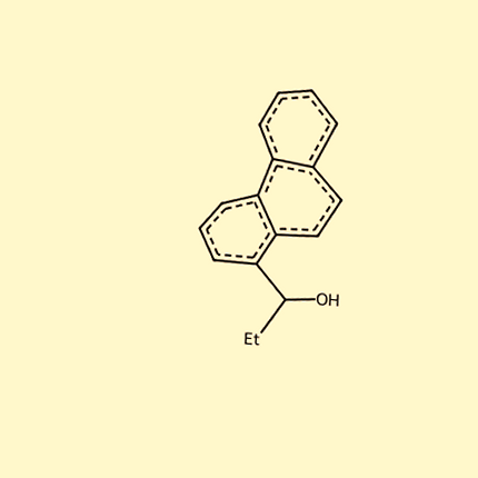 CCC(O)c1cccc2c1ccc1ccccc12